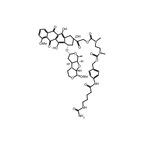 COc1cccc2c1C(=O)c1c(O)c3c(c(O)c1C2=O)C[C@@](O)(C(=O)COC(=O)N(C)CCN(C)C(=O)OCc1ccc(NC(=O)CCCCNC(N)=O)cc1)C[C@@H]3O[C@H]1C[C@H]2[C@H](O[C@@H]3[C@@H](OC)OCCN32)[C@H](C)O1